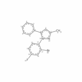 Cc1cc(-c2ccccc2)n(-c2ccc(F)cc2Br)n1